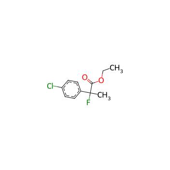 CCOC(=O)C(C)(F)c1ccc(Cl)cc1